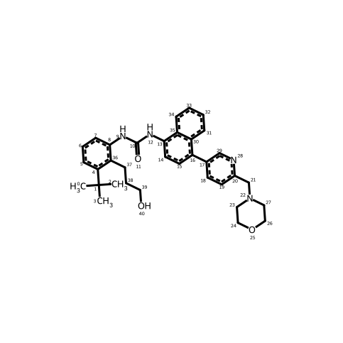 CC(C)(C)c1cccc(NC(=O)Nc2ccc(-c3ccc(CN4CCOCC4)nc3)c3ccccc23)c1CCCO